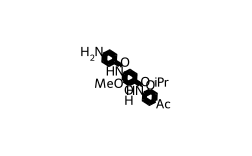 COc1c(NC(=O)c2ccc(N)cc2)ccc(C(=O)Nc2ccc(C(C)=O)cc2OC(C)C)c1O